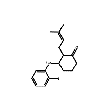 CC(C)=CCC1C(=O)CCCC1Nc1ccccc1I